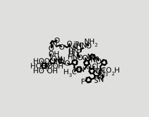 COc1ccccc1-c1nccc(COc2ccccc2C[C@@H](Oc2ncnc3sc(-c4ccc(F)cc4)c(-c4ccc(OCCN5CC[N+](C)(Cc6ccc(NC(=O)[C@H](CCCNC(N)=O)NC(=O)[C@@H](NC(=O)CCOCCN7C(=O)C=CC7=O)C(C)C)cc6COCc6cn([C@@H]7O[C@H](CO)[C@@H](O[C@@H]8O[C@H](CO)[C@H](O)[C@H](O)[C@H]8O)[C@H](O)[C@H]7O)nn6)CC5)c(Cl)c4C)c23)C(=O)O)n1